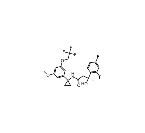 COc1cc(OCC(F)(F)F)cc(C2(NC(=O)C[C@](C)(O)c3ccc(F)cc3F)CC2)c1